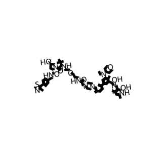 C=C(/C=C\C(=C)c1cc(C(O)NCC2=C(C)C=C(C)NC2O)c(C)c(N(CC)C2CCOCC2)c1)CN1CCN(CC(=O)NCCCOCCN[C@H](C(=O)N2C[C@H](O)C[C@H]2C(=O)NCc2ccc(-c3scnc3C)cc2)C(C)(C)C)CC1